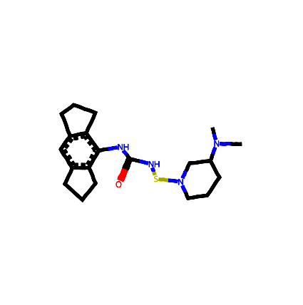 CN(C)C1CCCN(SNC(=O)Nc2c3c(cc4c2CCC4)CCC3)C1